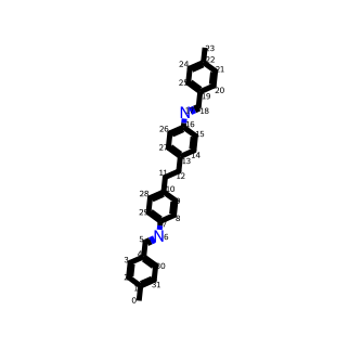 Cc1ccc(/C=N/c2ccc(CCc3ccc(/N=C/c4ccc(C)cc4)cc3)cc2)cc1